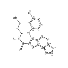 CN(CCCO)C(=O)c1cc2c(ccc3nncn32)n1Cc1cccc(Cl)c1